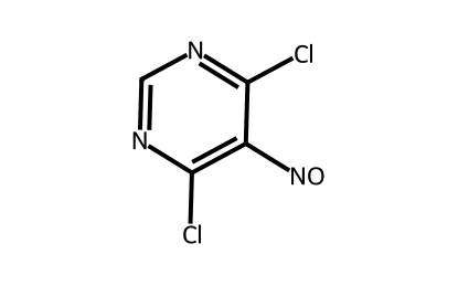 O=Nc1c(Cl)ncnc1Cl